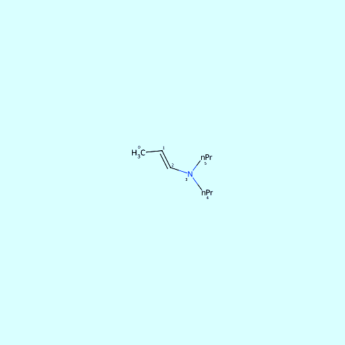 C/C=C/N(CCC)CCC